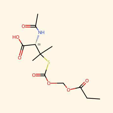 CCC(=O)OCOC(=O)SC(C)(C)[C@@H](NC(C)=O)C(=O)O